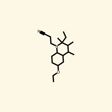 CCOC1CCC2C(C1)C(C)C(C)C(C)(CC)N2CCC#N